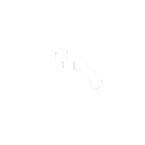 Cc1cc(-n2c(=O)[nH]c(=O)n(C)c2=O)cc(C)c1Sc1ccc(Br)cc1